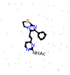 CC(=O)Nc1nccc(/C=C/c2c(-c3ccccc3)nc3n2CCS3)n1